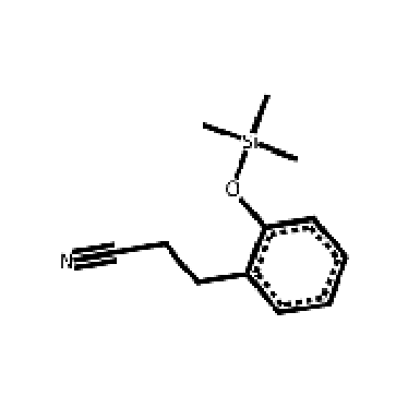 C[Si](C)(C)Oc1ccccc1CCC#N